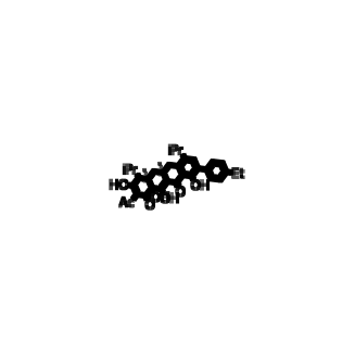 CCc1ccc(-c2cc(C(C)C)c3c(c2O)C(=O)C2=C(O)[C@@]4(O)C(=O)C(C(C)=O)=C(O)C(C(C)C)[C@@]4(C)C[C@@]2(C)C3)cc1